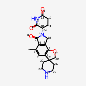 Cc1cc2c(c3c1C(=O)N([C@H]1CCC(=O)NC1=O)C3)OCC21CCNCC1